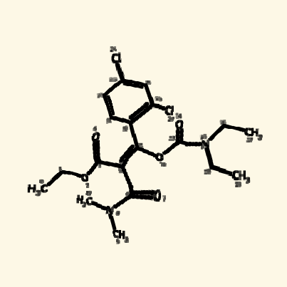 CCOC(=O)C(C(=O)N(C)C)=C(OC(=O)N(CC)CC)c1ccc(Cl)cc1Cl